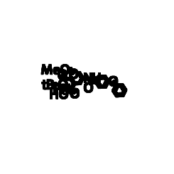 COCOCC(CC(CC(=O)OC(C)(C)C)C(=O)NO)NC(=O)c1ccc(Oc2ccccc2)cc1